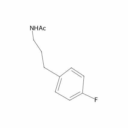 CC(=O)NCCCc1ccc(F)cc1